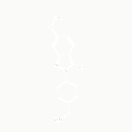 COc1ccc2cn(C3CCC(CN)CC3)nc2c1.Cl